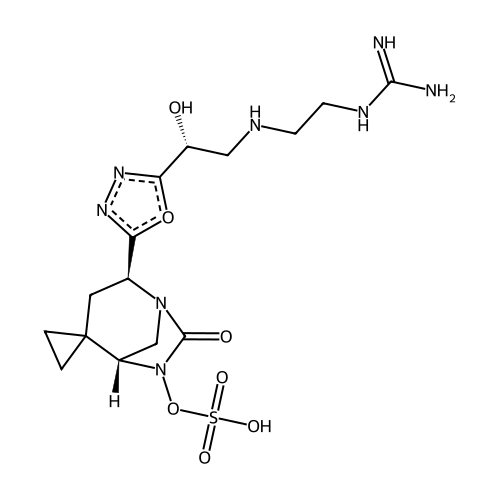 N=C(N)NCCNC[C@@H](O)c1nnc([C@@H]2CC3(CC3)[C@@H]3CN2C(=O)N3OS(=O)(=O)O)o1